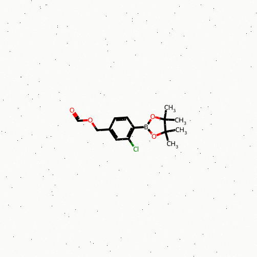 CC1(C)OB(c2ccc(COC=O)cc2Cl)OC1(C)C